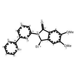 CC[C@@H]1c2cc(OC)c(OC)cc2C(=O)N1c1cncc(-c2ncccn2)n1